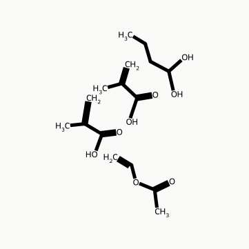 C=C(C)C(=O)O.C=C(C)C(=O)O.C=COC(C)=O.CCCC(O)O